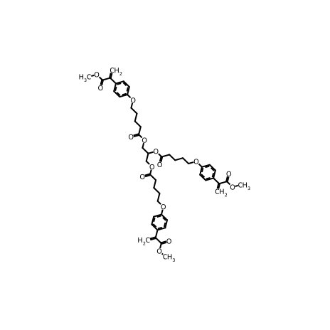 C=C(C(=O)OC)c1ccc(OCCCCC(=O)OCC(COC(=O)CCCCOc2ccc(C(=C)C(=O)OC)cc2)OC(=O)CCCCOc2ccc(C(=C)C(=O)OC)cc2)cc1